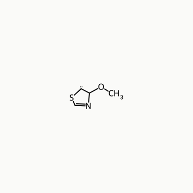 COC1[C]SC=N1